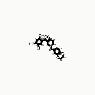 Oc1cc(O)c(-c2onc3c2CN(Cc2ccc4c(c2)OCCO4)CC3)cc1Cl